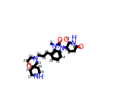 Cn1c(=O)n(C2CCC(=O)NC2=O)c2cccc(CCCN3CCOC4(CCNCC4)C3)c21